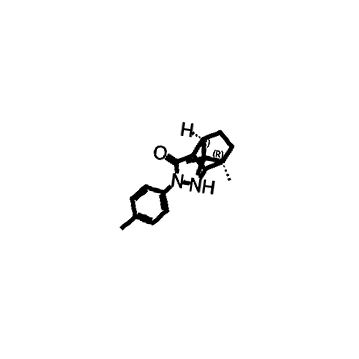 Cc1ccc(N2NC3C(C2=O)[C@H]2CC[C@]3(C)C2(C)C)cc1